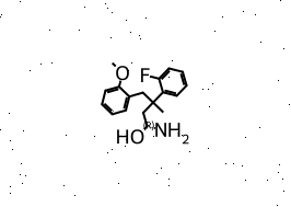 COc1ccccc1CC(C)(C[C@H](N)O)c1ccccc1F